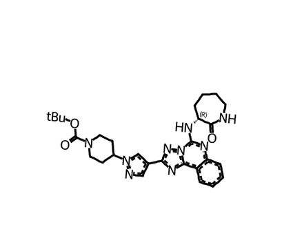 CC(C)(C)OC(=O)N1CCC(n2cc(-c3nc4c5ccccc5nc(N[C@@H]5CCCCNC5=O)n4n3)cn2)CC1